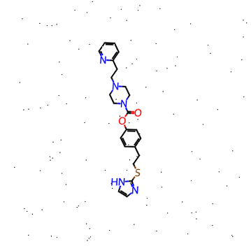 O=C(Oc1ccc(CCSc2ncc[nH]2)cc1)N1CCN(CCc2ccccn2)CC1